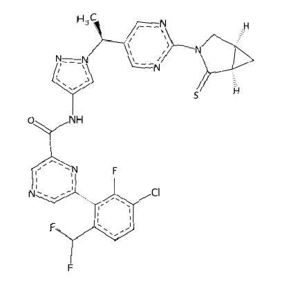 C[C@@H](c1cnc(N2C[C@H]3C[C@H]3C2=S)nc1)n1cc(NC(=O)c2cncc(-c3c(C(F)F)ccc(Cl)c3F)n2)cn1